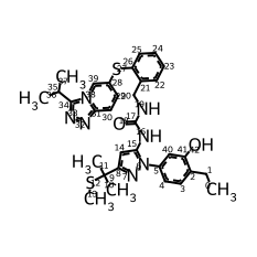 CCc1ccc(-n2nc(C(C)(C)SC)cc2NC(=O)NCc2ccccc2Sc2ccc3nnc(C(C)C)n3c2)cc1O